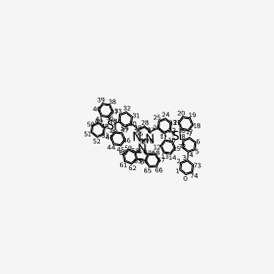 c1ccc(-c2cccc([Si](c3ccccc3)(c3ccccc3)c3cccc(-c4cc(-c5cccc([Si](c6ccccc6)(c6ccccc6)c6ccccc6)c5)nc(-n5c6ccccc6c6ccccc65)n4)c3)c2)cc1